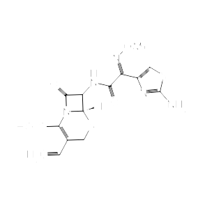 C=CC1=C(C(=O)O)N2C(=O)C(NC(=O)C(=NOC)c3csc(N)n3)[C@@H]2SC1